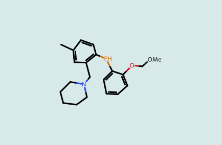 COCOc1ccccc1Pc1ccc(C)cc1CN1CCCCC1